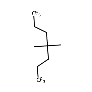 CC(C)(CCC(F)(F)F)CCC(F)(F)F